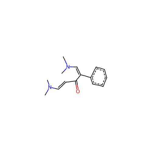 CN(C)C=CC(=O)C(=CN(C)C)c1ccccc1